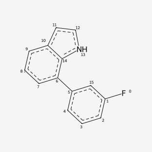 Fc1cccc(-c2c[c]cc3cc[nH]c23)c1